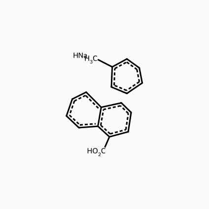 Cc1ccccc1.O=C(O)c1cccc2ccccc12.[NaH]